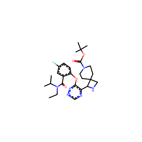 CCN(C(=O)c1cc(F)ccc1Oc1nncnc1C1NCC12CCN(C(=O)OC(C)(C)C)CC2)C(C)C